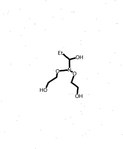 CCC(O)N(OCCO)OCCO